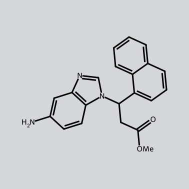 COC(=O)CC(c1cccc2ccccc12)n1cnc2cc(N)ccc21